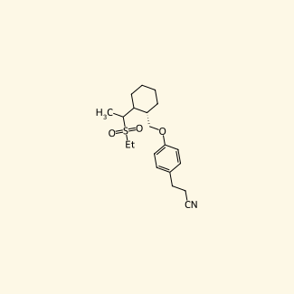 CCS(=O)(=O)C(C)C1CCCC[C@@H]1COc1ccc(CCC#N)cc1